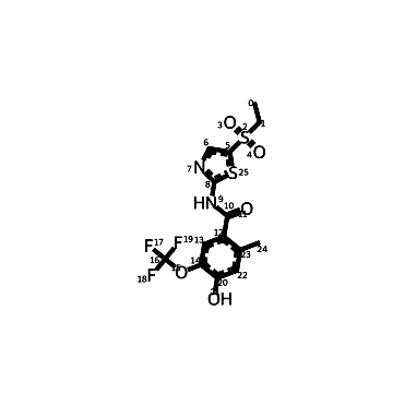 CCS(=O)(=O)c1cnc(NC(=O)c2cc(OC(F)(F)F)c(O)cc2C)s1